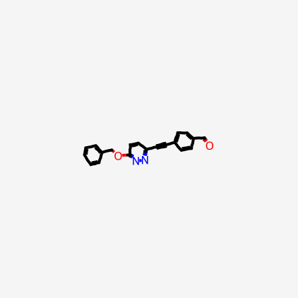 O=Cc1ccc(C#Cc2ccc(OCc3ccccc3)nn2)cc1